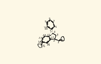 O=CC1C[C@@H](c2ccccc2)c2ccc(Cl)cc21